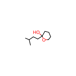 CC(C)CCC1(O)CCCCO1